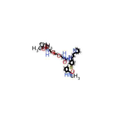 CNC(=O)c1ccccc1Sc1ccc2c(/C=C/c3ccccn3)nn(C(=O)NCCOCCOCCNC(=O)OC(C)(C)C)c2c1